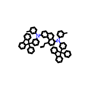 C=CCc1ccc(N(c2cccc(C)c2)c2cccc(C3(c4ccccc4)c4ccccc4-c4ccccc43)c2)c2ccc3ccc(N(c4cccc(C)c4)c4cccc(C5(c6ccccc6)c6ccccc6-c6ccccc65)c4)cc3c12